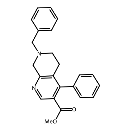 COC(=O)c1cnc2c(c1-c1ccccc1)CCN(Cc1ccccc1)C2